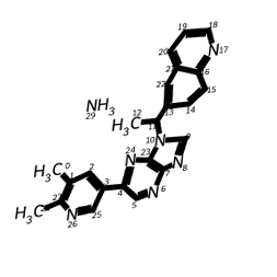 Cc1cc(-c2cnc3ncn(C(C)c4ccc5ncccc5c4)c3n2)cnc1C.N